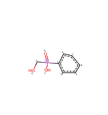 O=P(O)(CO)c1ccccc1